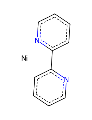 [Ni].c1ccc(-c2ccccn2)nc1